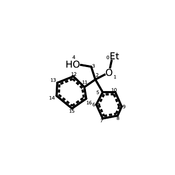 CCOC(CO)(c1ccccc1)c1ccccc1